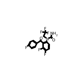 NC(=O)N(CC(F)(F)F)c1ccc(F)c(F)c1C(=O)c1ccc(F)cc1